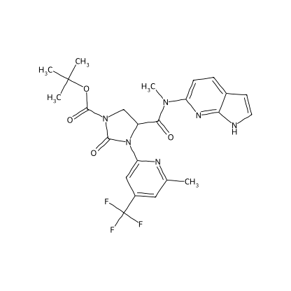 Cc1cc(C(F)(F)F)cc(N2C(=O)N(C(=O)OC(C)(C)C)CC2C(=O)N(C)c2ccc3cc[nH]c3n2)n1